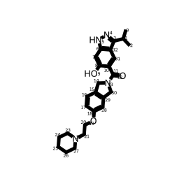 CC(C)c1n[nH]c2cc(O)c(C(=O)N3Cc4ccc(OCCN5CCCCC5)cc4C3)cc12